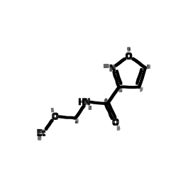 CCOCNC(=O)c1ccon1